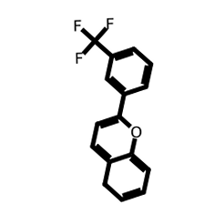 FC(F)(F)c1cccc(C2=CC=C3CC=CC=C3O2)c1